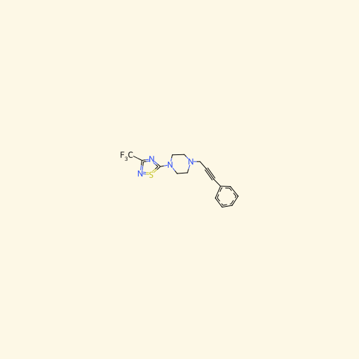 FC(F)(F)c1nsc(N2CCN(CC#Cc3ccccc3)CC2)n1